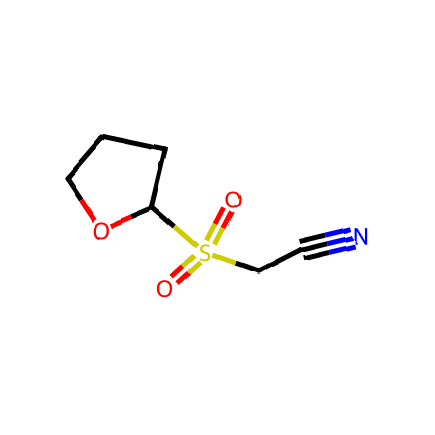 N#CCS(=O)(=O)C1CCCO1